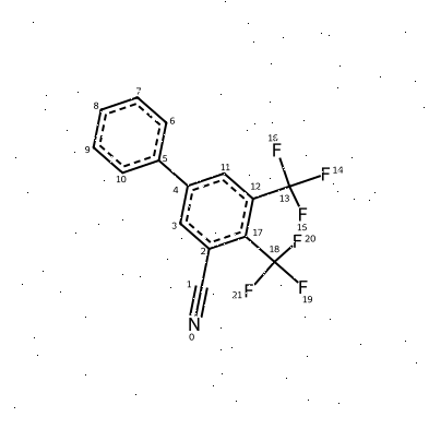 N#Cc1cc(-c2ccccc2)cc(C(F)(F)F)c1C(F)(F)F